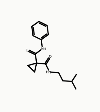 CC(C)CCNC(=O)C1(C(=O)Nc2ccccc2)CC1